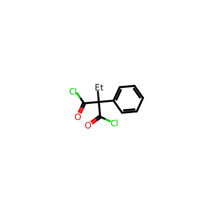 CCC(C(=O)Cl)(C(=O)Cl)c1ccccc1